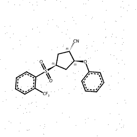 N#C[C@H]1C[C@H](S(=O)(=O)c2ccccc2C(F)(F)F)C[C@@H]1Oc1ccccc1